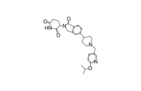 CC(C)Oc1ccc(CN2CCC(c3ccc4c(c3)CN(C3CCC(=O)NC3=O)C4=O)CC2)cn1